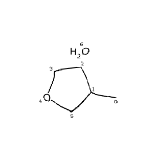 CC1CCOC1.O